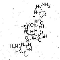 Nc1nc2c(ncn2[C@@H]2O[C@@H]3OP(=O)(S)O[C@H]4[C@@H](F)[C@H](n5cnc6c(N)ncnc65)O[C@@H]4COP(=O)(S)O[C@@H]2[C@@H]3O)c(=O)[nH]1